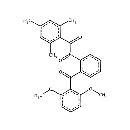 COc1cccc(OC)c1C(=O)c1ccccc1[P](=O)C(=O)c1c(C)cc(C)cc1C